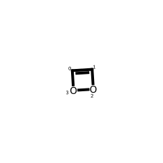 c1coo1